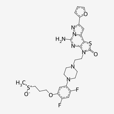 C[S@+]([O-])CCCOc1cc(N2CCN(CCn3c(=O)sc4c3nc(N)n3nc(-c5ccco5)cc43)CC2)c(F)cc1F